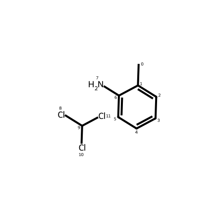 Cc1ccccc1N.ClC(Cl)Cl